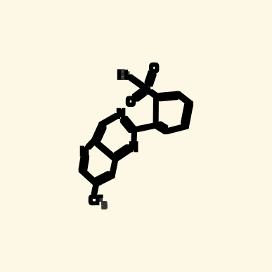 CCS(=O)(=O)c1ccccc1-c1ncc2ncc(C(F)(F)F)cc2n1